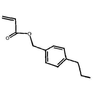 C=CC(=O)OCc1ccc(CCC)cc1